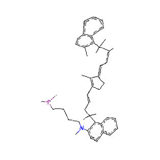 CC1=C(/C=C/CC(C)(C)c2c(N(C)CCCCP(C)C)ccc3ccccc23)CC/C1=C\C=C(\C)C(C)(C)c1c(C)ccc2ccccc12